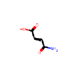 NC(=O)C=CC(=O)O